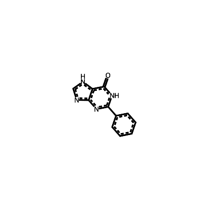 O=c1[nH]c(-c2ccccc2)nc2nc[nH]c12